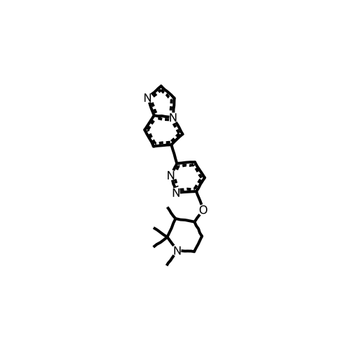 CC1C(Oc2ccc(-c3ccc4nccn4c3)nn2)CCN(C)C1(C)C